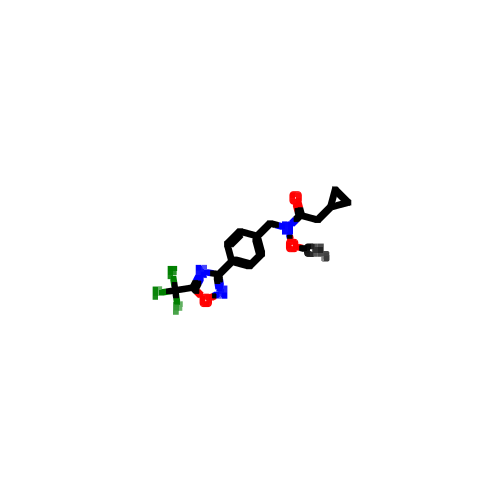 CON(Cc1ccc(-c2noc(C(F)(F)F)n2)cc1)C(=O)CC1CC1